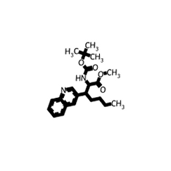 CCCCC(c1cnc2ccccc2c1)C(NC(=O)OC(C)(C)C)C(=O)OC